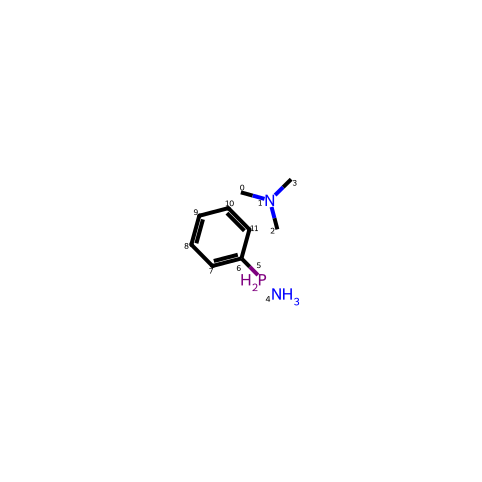 CN(C)C.N.Pc1ccccc1